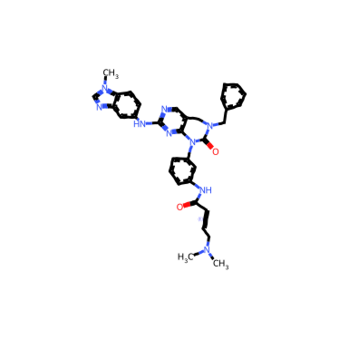 CN(C)C/C=C/C(=O)Nc1cccc(N2C(=O)N(Cc3ccccc3)Cc3cnc(Nc4ccc5c(c4)ncn5C)nc32)c1